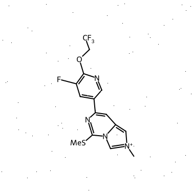 CSc1nc(-c2cnc(OCC(F)(F)F)c(F)c2)cc2c[n+](C)cn12